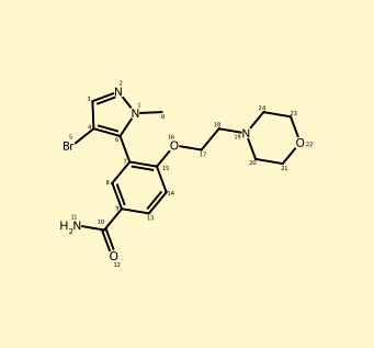 Cn1ncc(Br)c1-c1cc(C(N)=O)ccc1OCCN1CCOCC1